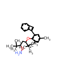 Cc1cc(C)c(OC(CC(ON)C(C)(C)C)C(C)(C)C)c(C2=Cc3ccccc32)c1